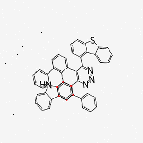 c1ccc(-c2ccccc2-c2nnnc(-c3cccc4sc5ccccc5c34)c2-c2cccc(-c3ccccc3)c2-c2cccc3c2[nH]c2ccccc23)cc1